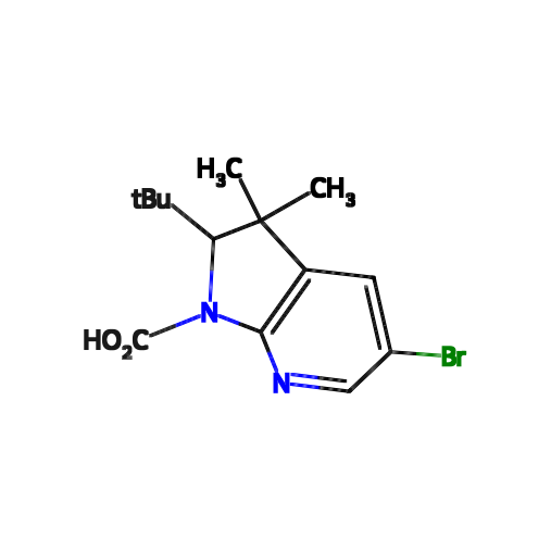 CC(C)(C)C1N(C(=O)O)c2ncc(Br)cc2C1(C)C